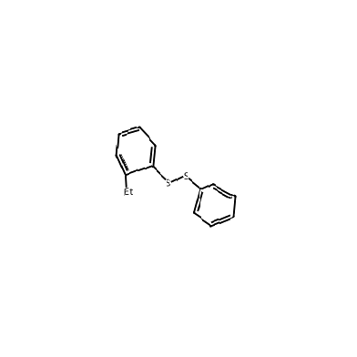 CCc1ccccc1SSc1ccccc1